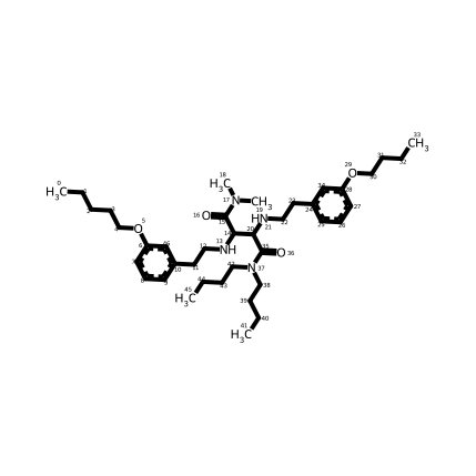 CCCCCOc1cccc(CCNC(C(=O)N(C)C)C(NCCc2cccc(OCCCC)c2)C(=O)N(CCCC)CCCC)c1